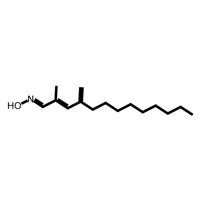 C=C(/C=C(C)/C=N/O)CCCCCCCCC